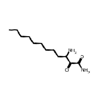 CCCCCCCCCC(N)C(=O)C(N)=O